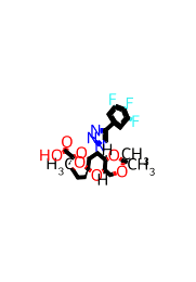 C[C@@H](O[C@@H]1[C@@H](n2cc(-c3cc(F)c(F)c(F)c3)nn2)[C@H]2OC(C)(C)OC[C@H]2O[C@@]12CCCO2)C(=O)O